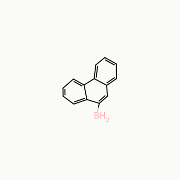 Bc1cc2ccccc2c2ccccc12